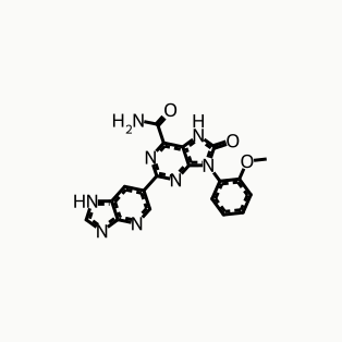 COc1ccccc1-n1c(=O)[nH]c2c(C(N)=O)nc(-c3cnc4nc[nH]c4c3)nc21